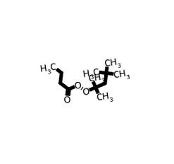 CCCC(=O)OOC(C)(C)CC(C)(C)C